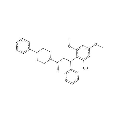 COc1cc(O)c(C(CC(=O)N2CCC(c3ccccc3)CC2)c2ccccc2)c(OC)c1